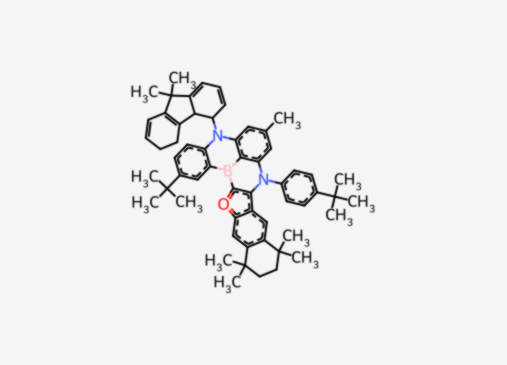 Cc1cc2c3c(c1)N(C1C=CC=C4C1C1=C(C=CCC1)C4(C)C)c1ccc(C(C)(C)C)cc1B3c1oc3cc4c(cc3c1N2c1ccc(C(C)(C)C)cc1)C(C)(C)CCC4(C)C